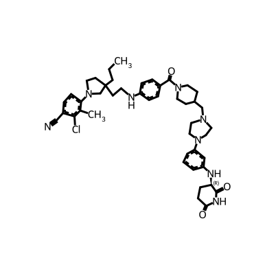 CCCC1(CCNc2ccc(C(=O)N3CCC(CN4CCN(c5cccc(N[C@@H]6CCC(=O)NC6=O)c5)CC4)CC3)cc2)CCN(c2ccc(C#N)c(Cl)c2C)C1